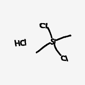 C[Si](C)(Cl)Cl.Cl